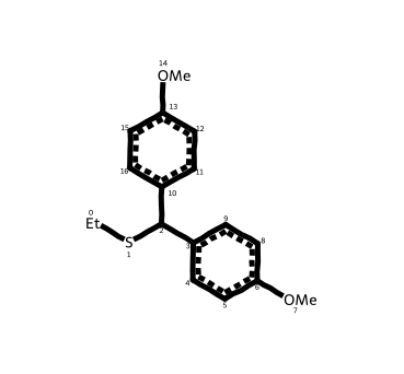 CCSC(c1ccc(OC)cc1)c1ccc(OC)cc1